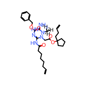 [2H]C([2H])([2H])N(C(=N)N)N(CC(=O)OC1(CCC=C)CCCC1)/C(=N\C(=O)OCc1ccccc1)NC(=O)CCCCCC=C